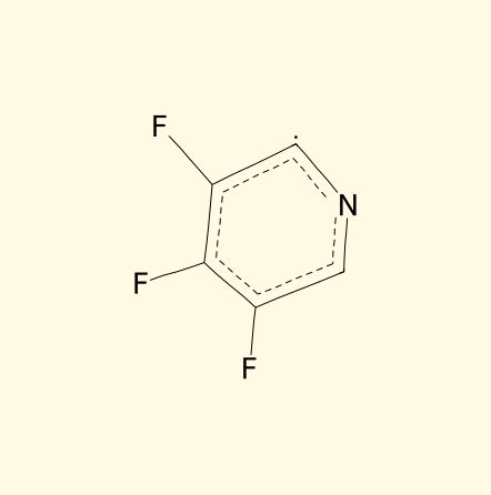 Fc1[c]ncc(F)c1F